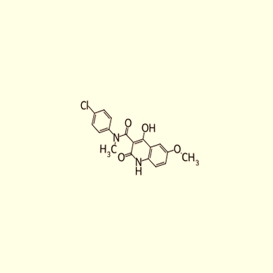 COc1ccc2[nH]c(=O)c(C(=O)N(C)c3ccc(Cl)cc3)c(O)c2c1